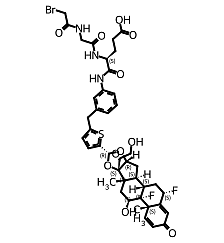 C[C@]12C=CC(=O)C=C1[C@@H](F)C[C@H]1[C@@H]3C[C@H]4O[C@@H](c5ccc(Cc6cccc(NC(=O)[C@H](CCC(=O)O)NC(=O)CNC(=O)CBr)c6)s5)O[C@@]4(C(=O)CO)[C@@]3(C)C[C@H](O)[C@@]12F